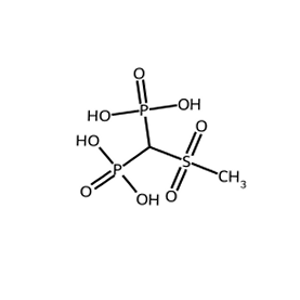 CS(=O)(=O)C(P(=O)(O)O)P(=O)(O)O